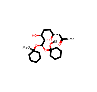 CCOC1(O[C@@H](OC2(OC)CCCCC2)[C@H]2O[C@@H](CC(=O)OC)CC[C@@H]2O)CCCCC1